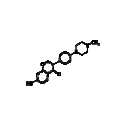 CN1CCN(c2ccc(-c3coc4cc(O)ccc4c3=O)cc2)CC1